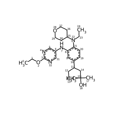 CCOc1ncc(Nc2cc(C(CC)CC(C)(C)O)ccc2N(CC)C2CCOCC2)cn1